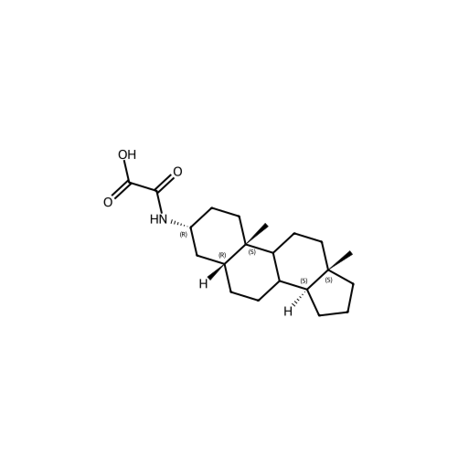 C[C@@]12CCC[C@H]1C1CC[C@@H]3C[C@H](NC(=O)C(=O)O)CC[C@]3(C)C1CC2